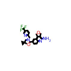 CC1(CN(Cc2ccc(C(F)(F)F)cn2)C(=O)c2ccc3nc(N)c4c(c3c2)COC4)CC1